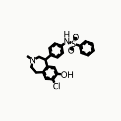 CN1CCc2cc(Cl)c(O)cc2C(c2ccc(NS(=O)(=O)c3ccccc3)cc2)C1